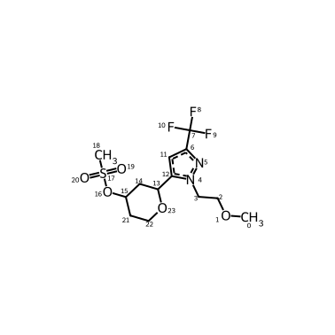 COCCn1nc(C(F)(F)F)cc1C1CC(OS(C)(=O)=O)CCO1